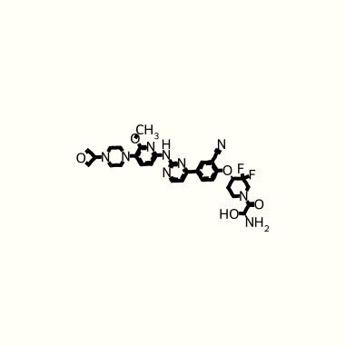 COc1nc(Nc2nccc(-c3ccc(O[C@H]4CCN(C(=O)[C@H](N)O)CC4(F)F)c(C#N)c3)n2)ccc1N1CCN(C2COC2)CC1